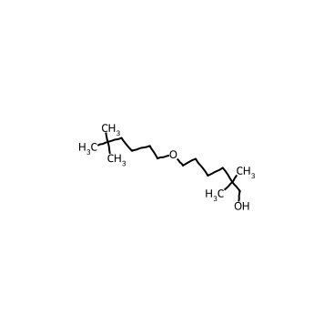 CC(C)(C)CCCCOCCCCC(C)(C)CO